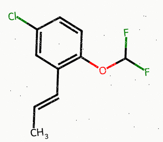 C/C=C/c1cc(Cl)ccc1OC(F)F